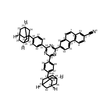 N#Cc1ccc2c(ccc3cc(-c4nc(-c5ccc(C67C[C@H]8C[C@@H](C6)C[C@@H](C7)C8)cc5)nc(-c5ccc(C67C[C@H]8C[C@@H](C6)C[C@@H](C7)C8)cc5)n4)ccc32)c1